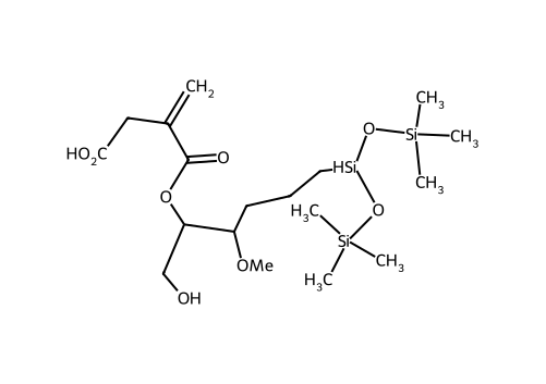 C=C(CC(=O)O)C(=O)OC(CO)C(CCC[SiH](O[Si](C)(C)C)O[Si](C)(C)C)OC